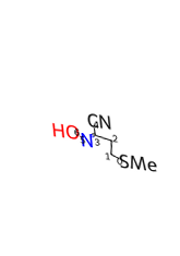 CSCCC(C#N)=NO